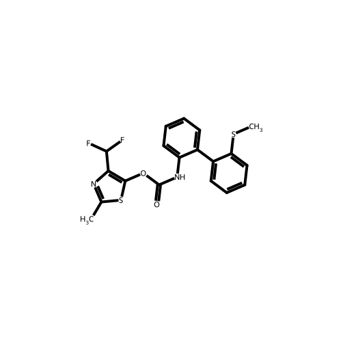 CSc1ccccc1-c1ccccc1NC(=O)Oc1sc(C)nc1C(F)F